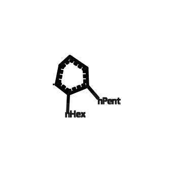 CCCCCCc1[c]cccc1CCCCC